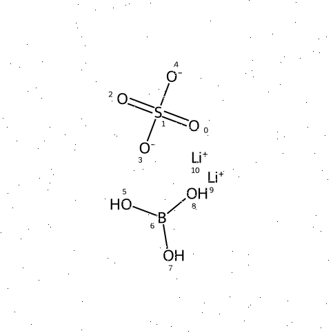 O=S(=O)([O-])[O-].OB(O)O.[Li+].[Li+]